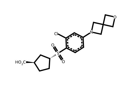 O=C(O)[C@@H]1CC[C@@H](S(=O)(=O)c2ccc(N3CC4(COC4)C3)cc2Cl)C1